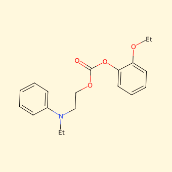 CCOc1ccccc1OC(=O)OCCN(CC)c1ccccc1